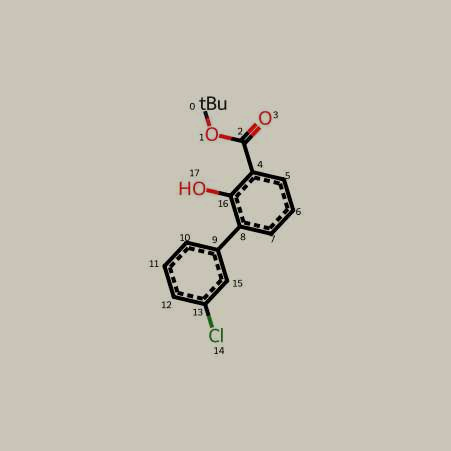 CC(C)(C)OC(=O)c1cccc(-c2cccc(Cl)c2)c1O